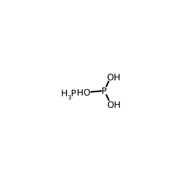 OP(O)O.P